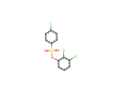 O=S(=O)(Oc1cccc(Cl)c1Cl)c1ccc(F)cc1